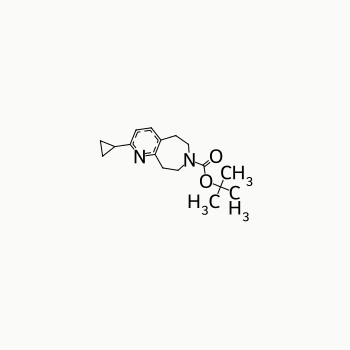 CC(C)(C)OC(=O)N1CCc2ccc(C3CC3)nc2CC1